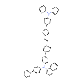 C(=C\c1ccc(-c2ccc(N(c3ccc(-c4ccccc4)cc3)c3cccc4ccccc34)cc2)cc1)/c1ccc(-c2ccc(N(c3ccccc3)c3ccccc3)cc2)cc1